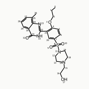 CCCOc1ccc(S(=O)(=O)N2CCN(CCO)CC2)cc1-c1nc2c(C)cccc2c(=O)[nH]1